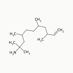 C=CC(C)CC(C)CCC(C)CC(C)(C)N